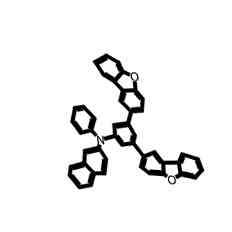 c1ccc(N(c2cc(-c3ccc4oc5ccccc5c4c3)cc(-c3ccc4oc5ccccc5c4c3)c2)c2ccc3ccccc3c2)cc1